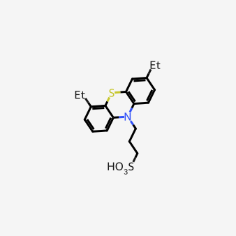 CCc1ccc2c(c1)Sc1c(CC)cccc1N2CCCS(=O)(=O)O